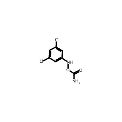 NC(=O)ONc1cc(Cl)cc(Cl)c1